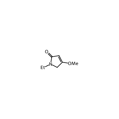 CCN1CC(OC)=CC1=O